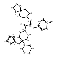 O=C([C@@H](Cc1ccc(Cl)cc1)NC1CCC2(CC1)OCCO2)N1CCC(Cn2cncn2)(C2CCCCC2)CC1